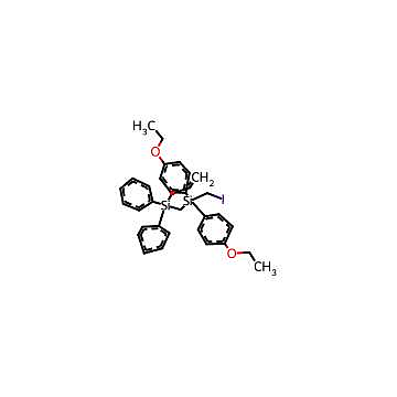 C=CC[Si](C[Si](CI)(c1ccc(OCC)cc1)c1ccc(OCC)cc1)(c1ccccc1)c1ccccc1